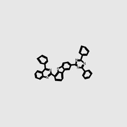 c1ccc(-c2nc(-c3ccccc3)nc(-c3ccc4sc5c(-c6nc(-c7ccccc7)c7ccccc7n6)cccc5c4c3)n2)cc1